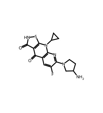 NC1CCN(c2nc3c(cc2F)c(=O)c2c(=O)[nH]sc2n3C2CC2)C1